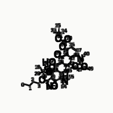 CCCCOc1noc2c1C(=O)[C@@]1(O[Si](C)(C)C(C)(C)C)C(O)=C3C(=O)c4c(OC(=O)OC(C)(C)C)ccc(N(C)C)c4C[C@@]3(COCOC)C[C@H]1[C@@H]2N(C)C